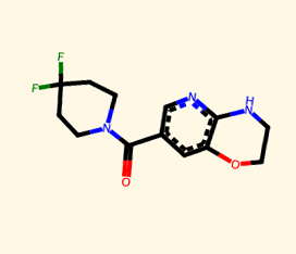 O=C(c1cnc2c(c1)OCCN2)N1CCC(F)(F)CC1